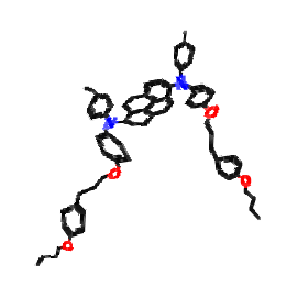 CCCCOc1ccc(CCCOc2ccc(N(c3ccc(C)cc3)c3ccc4ccc5c(N(c6ccc(C)cc6)c6ccc(OCCCc7ccc(OCCCC)cc7)cc6)ccc6ccc3c4c65)cc2)cc1